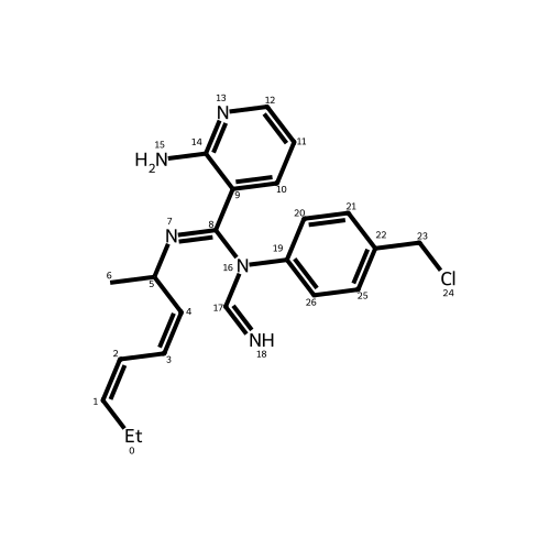 CC/C=C\C=C/C(C)/N=C(/c1cccnc1N)N(C=N)c1ccc(CCl)cc1